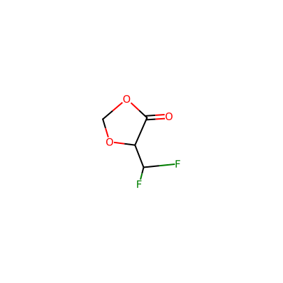 O=C1OCOC1C(F)F